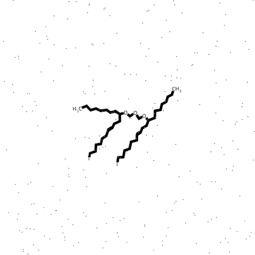 CCCCCCCCC(CCC=CCCCCCCI)OCOCOC(CCC=CCCCCCCI)CCCCCCCC